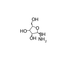 NB[C@@H]1O[C@H](CO)C(O)[C@@H]1O